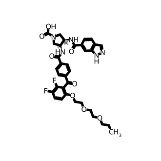 CCCOCCOCCOc1ccc(F)c(F)c1C(=O)c1ccc(C(=O)N[C@@H]2CN(C(=O)O)C[C@H]2NC(=O)c2ccc3cn[nH]c3c2)cc1